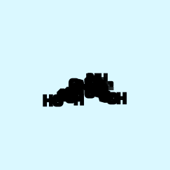 CCC(CC(CC(C)N)NC(=O)c1cc2ccc(O)cc2oc1=O)NC(=O)c1cc2ccc(O)cc2oc1=O